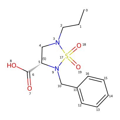 CCCN1C[C@@H](C(=O)O)N(Cc2ccccc2)S1(=O)=O